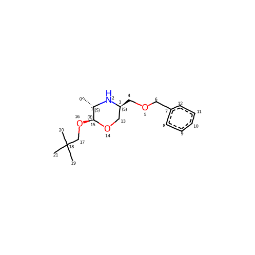 C[C@@H]1N[C@@H](COCc2ccccc2)CO[C@H]1OCC(C)(C)C